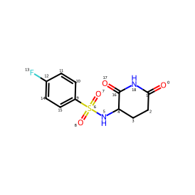 O=C1CCC(NS(=O)(=O)c2ccc(F)cc2)C(=O)N1